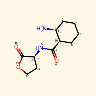 N[C@H]1CCCC[C@H]1C(=O)N[C@H]1CCOC1=O